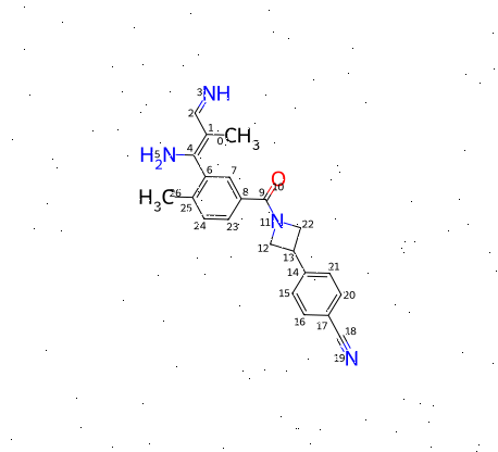 C/C(C=N)=C(/N)c1cc(C(=O)N2CC(c3ccc(C#N)cc3)C2)ccc1C